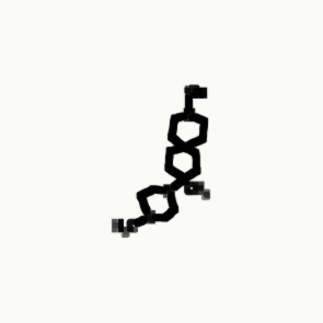 CN1CCN(C2(C)CCC3(CCN(C(C)(C)C)CC3)CC2)CC1